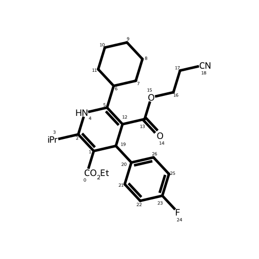 CCOC(=O)C1=C(C(C)C)NC(C2CCCCC2)=C(C(=O)OCCC#N)C1c1ccc(F)cc1